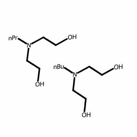 CCCCN(CCO)CCO.CCCN(CCO)CCO